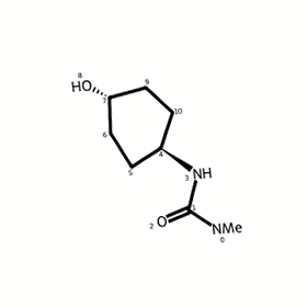 CNC(=O)N[C@H]1CC[C@H](O)CC1